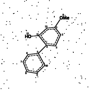 COc1ccc(-c2cc[c]cc2)c(O)c1